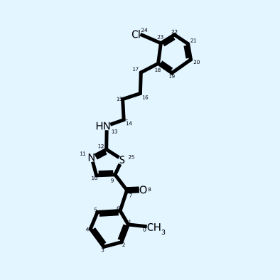 Cc1ccccc1C(=O)c1cnc(N[CH]CCCc2ccccc2Cl)s1